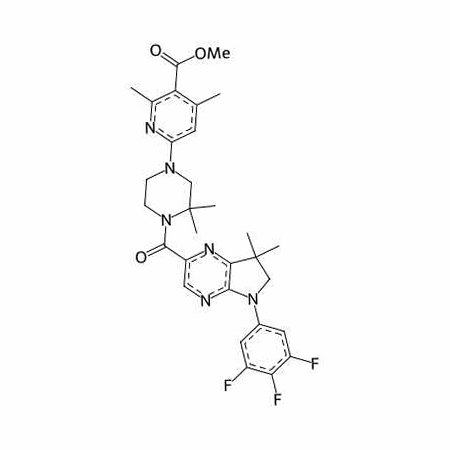 COC(=O)c1c(C)cc(N2CCN(C(=O)c3cnc4c(n3)C(C)(C)CN4c3cc(F)c(F)c(F)c3)C(C)(C)C2)nc1C